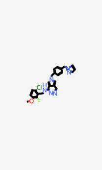 COc1ccc(Cl)c(CNc2nncc3cn(Cc4ccc(Cn5cccn5)cc4)cc23)c1F